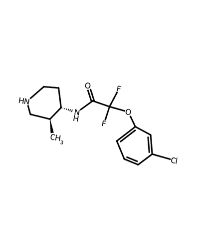 C[C@H]1CNCC[C@@H]1NC(=O)C(F)(F)Oc1cccc(Cl)c1